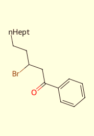 CCCCCCCCCC(Br)CC(=O)c1ccccc1